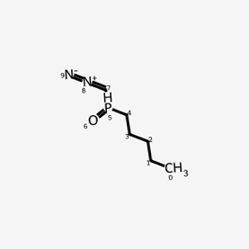 CCCCC[PH](=O)C=[N+]=[N-]